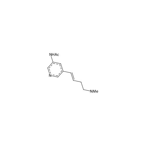 CNCCC=Cc1cncc(NC(C)=O)c1